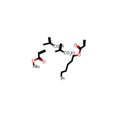 C=C(C)C(=O)O.C=C(C)C(=O)OCC.C=CC(=O)OCCCC.C=CC(=O)OCCCCCC(C)C